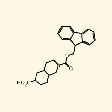 O=C(O)C1CCC2CN(C(=O)OCC3c4ccccc4-c4ccccc43)CCC2C1